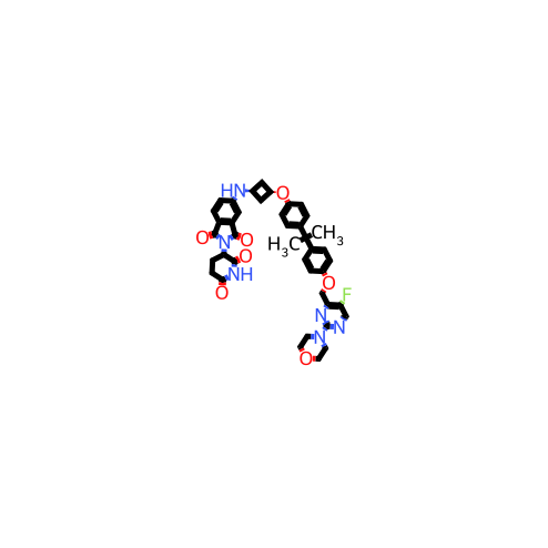 CC(C)(c1ccc(OCc2nc(N3CCOCC3)ncc2F)cc1)c1ccc(O[C@H]2C[C@H](Nc3ccc4c(c3)C(=O)N(C3CCC(=O)NC3=O)C4=O)C2)cc1